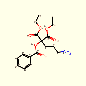 CCOC(=O)C(CCCN)(OC(=O)c1ccccc1)C(=O)OCC